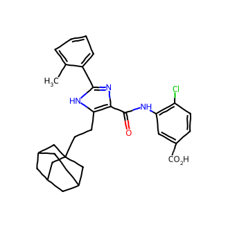 Cc1ccccc1-c1nc(C(=O)Nc2cc(C(=O)O)ccc2Cl)c(CCC23CC4CC(CC(C4)C2)C3)[nH]1